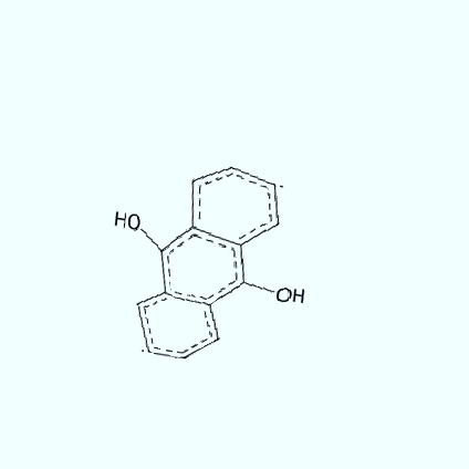 Oc1c2c[c]ccc2c(O)c2c[c]ccc12